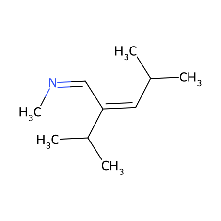 C/N=C\C(=C/C(C)C)C(C)C